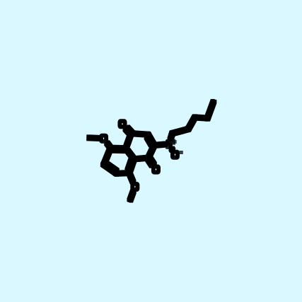 CCCCC[S+]([O-])C1=CC(=O)c2c(OC)ccc(OC)c2C1=O